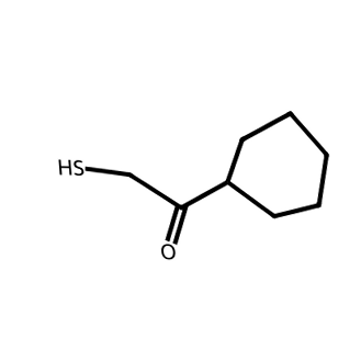 O=C(CS)C1CCCCC1